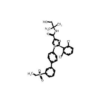 CCS(=O)(=O)c1cccc(-c2ccc(-n3cc(C(=O)NC(C)(C)CO)nc3-c3c(Cl)cccc3Cl)cc2)c1